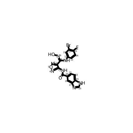 O=C(Nc1nonc1/C(=N\O)Nc1ccc(F)c(Br)c1)c1ccc2[nH]cnc2c1